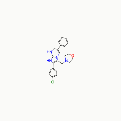 Clc1ccc(C2=C(CN3CCOCC3)N3C=C(c4ccccc4)CNC3N2)cc1